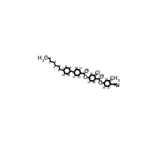 CCCCCCCc1ccc(-c2ccc(C(=O)Oc3ccc(C(=O)Oc4ccc(C#N)c(C)c4)c(Cl)c3)cc2)cc1